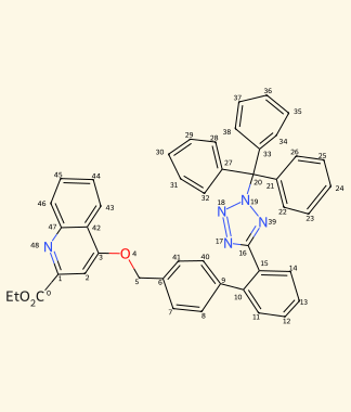 CCOC(=O)c1cc(OCc2ccc(-c3ccccc3-c3nnn(C(c4ccccc4)(c4ccccc4)c4ccccc4)n3)cc2)c2ccccc2n1